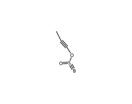 B#S(=O)OC#CC